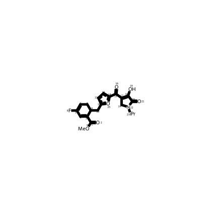 COC(=O)C1=CC(F)=CCC1Cc1ccc(C(=O)C2=C(O)C(=O)N(C(C)C)C2)o1